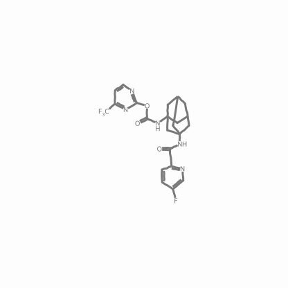 O=C(NC12CC3CC(C1)CC(NC(=O)c1ccc(F)cn1)(C3)C2)Oc1nccc(C(F)(F)F)n1